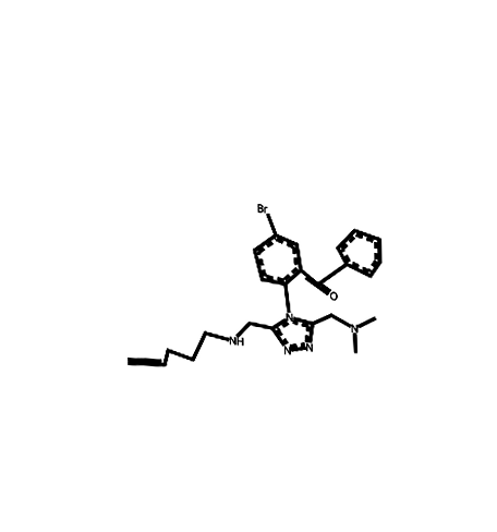 C=CCCCNCc1nnc(CN(C)C)n1-c1ccc(Br)cc1C(=O)c1ccccc1